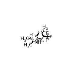 C=C(NC)Nc1ccc(C)c(C(F)(F)F)c1